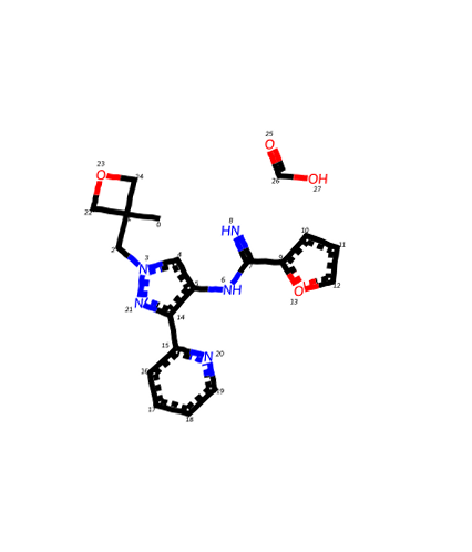 CC1(Cn2cc(NC(=N)c3ccco3)c(-c3ccccn3)n2)COC1.O=CO